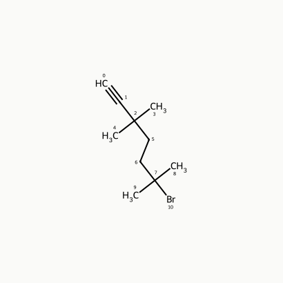 C#CC(C)(C)CCC(C)(C)Br